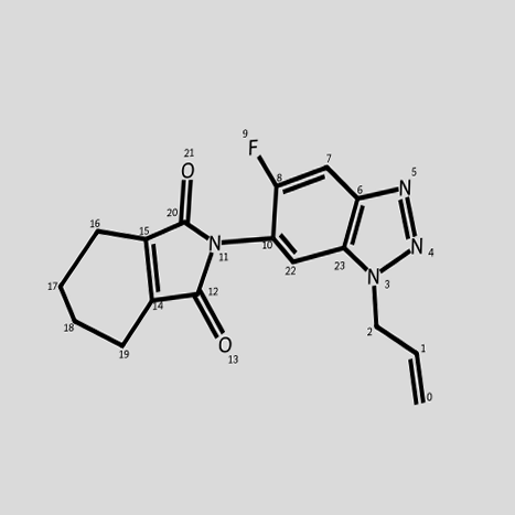 C=CCn1nnc2cc(F)c(N3C(=O)C4=C(CCCC4)C3=O)cc21